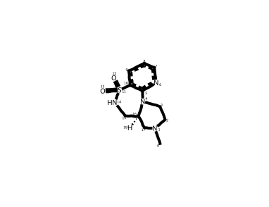 CN1CCN2c3ncccc3S(=O)(=O)NC[C@@H]2C1